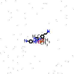 Cc1cc(/C=C/C#N)cc(C)c1N(c1ccnc(Nc2ccc(C#N)cc2)n1)S(C)(=O)=O